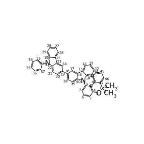 CC1(C)Oc2cccc(-n3c4ccccc4c4cc(-c5ccc6c(c5)c5ccccc5n6-c5ccccc5)ccc43)c2-c2ccccc21